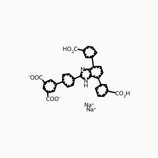 O=C([O-])c1cc(C(=O)[O-])cc(-c2ccc(-c3nc4c(-c5cccc(C(=O)O)c5)ccc(-c5cccc(C(=O)O)c5)c4[nH]3)cc2)c1.[Na+].[Na+]